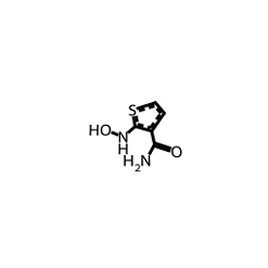 NC(=O)c1ccsc1NO